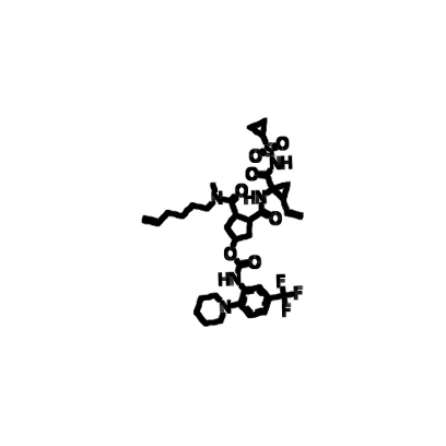 C=CCCCCN(C)C(=O)C1CC(OC(=O)Nc2cc(C(F)(F)F)ccc2N2CCCCC2)CC1C(=O)NC1(C(=O)NS(=O)(=O)C2CC2)CC1C=C